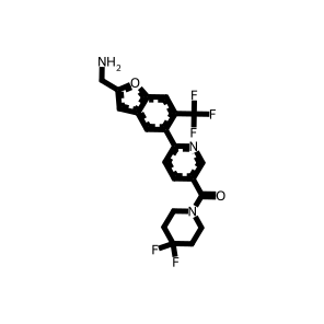 NCc1cc2cc(-c3ccc(C(=O)N4CCC(F)(F)CC4)cn3)c(C(F)(F)F)cc2o1